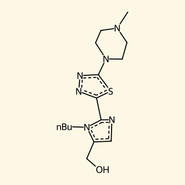 CCCCn1c(CO)cnc1-c1nnc(N2CCN(C)CC2)s1